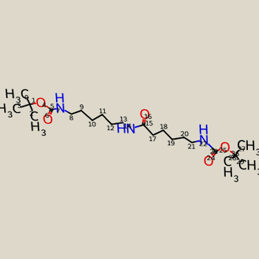 CC(C)(C)OC(=O)NCCCCCCNC(=O)CCCCCNC(=O)OC(C)(C)C